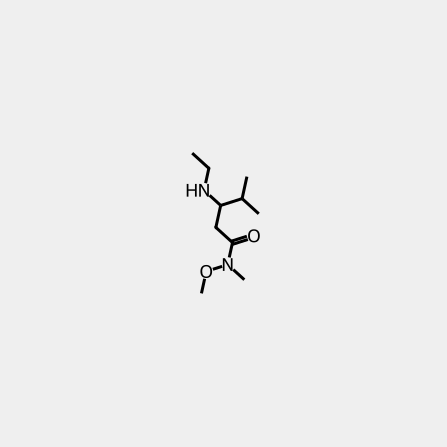 CCNC(CC(=O)N(C)OC)C(C)C